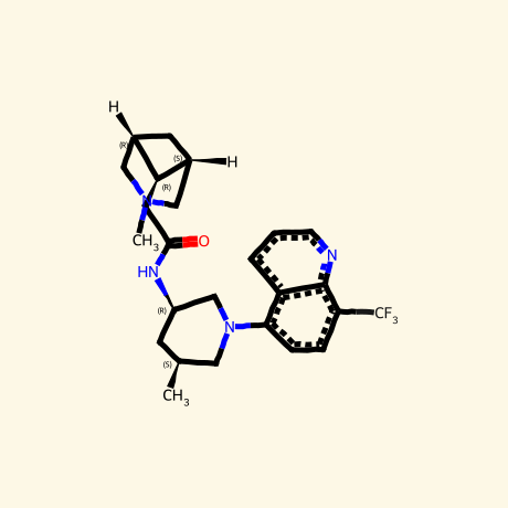 C[C@H]1C[C@@H](NC(=O)C[C@@H]2[C@@H]3C[C@H]2CN(C)C3)CN(c2ccc(C(F)(F)F)c3ncccc23)C1